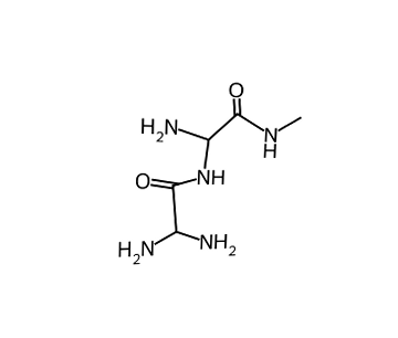 CNC(=O)C(N)NC(=O)C(N)N